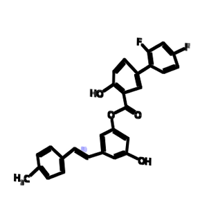 Cc1ccc(/C=C/c2cc(O)cc(OC(=O)c3cc(-c4ccc(F)cc4F)ccc3O)c2)cc1